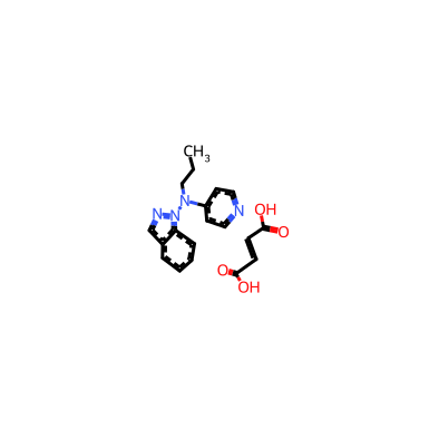 CCCN(c1ccncc1)n1ncc2ccccc21.O=C(O)C=CC(=O)O